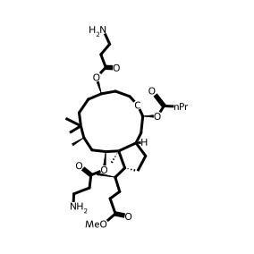 CCCC(=O)O[C@@H]1CCC[C@H](OC(=O)CCN)CCC(C)(C)[C@H](C)C[C@H](OC(=O)CCN)[C@@]2(C)[C@@H](CC[C@@H]2[C@H](C)CCC(=O)OC)C1